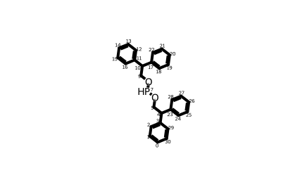 c1ccc(C(COPOCC(c2ccccc2)c2ccccc2)c2ccccc2)cc1